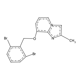 Cc1cn2cccc(OCc3c(Br)cccc3Br)c2n1